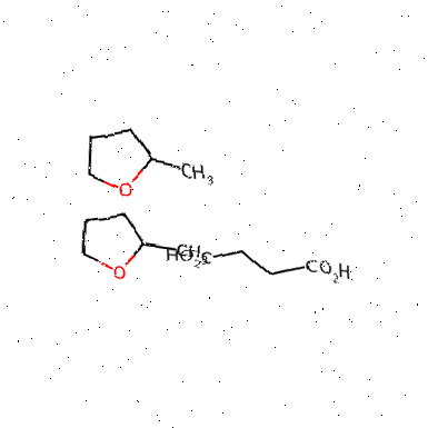 CC1CCCO1.CC1CCCO1.O=C(O)CCC(=O)O